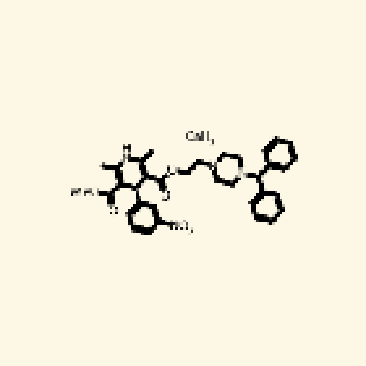 COC(=O)C1=C(C)NC(C)=C(C(=O)OCCN2CCN(C(c3ccccc3)c3ccccc3)CC2)[C@H]1c1cccc([N+](=O)[O-])c1.[CaH2]